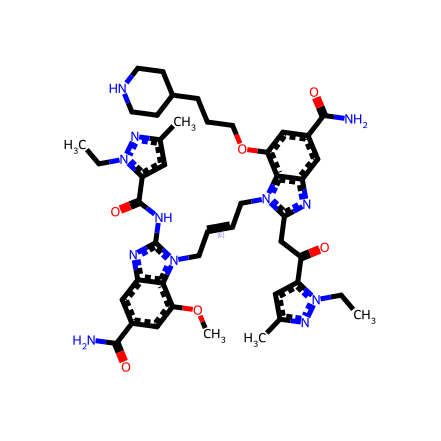 CCn1nc(C)cc1C(=O)Cc1nc2cc(C(N)=O)cc(OCCCC3CCNCC3)c2n1C/C=C/Cn1c(NC(=O)c2cc(C)nn2CC)nc2cc(C(N)=O)cc(OC)c21